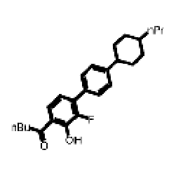 CCCCC(=O)c1ccc(-c2ccc(C3CCC(CCC)CC3)cc2)c(F)c1O